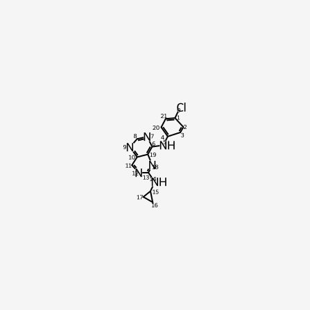 Clc1ccc(Nc2ncnc3cnc(NC4CC4)nc23)cc1